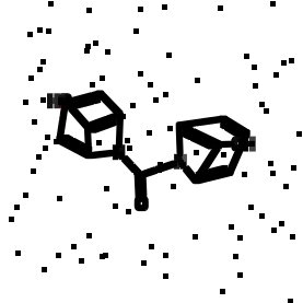 O=C(N1C2=CC=CC1=C2O)N1C2=CC=CC1=C2O